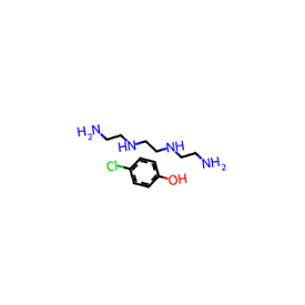 NCCNCCNCCN.Oc1ccc(Cl)cc1